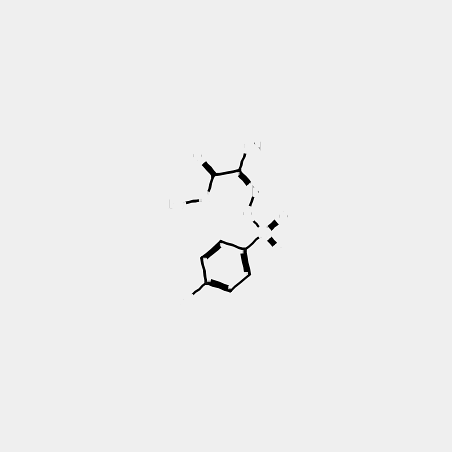 Cc1ccc(S(=O)(=O)ON=C(C#N)C(=O)OC(C)(C)C)cc1